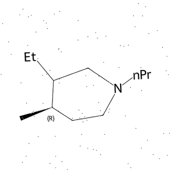 CCCN1CC[C@@H](C)C(CC)C1